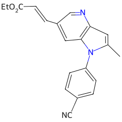 CCOC(=O)/C=C/c1cnc2cc(C)n(-c3ccc(C#N)cc3)c2c1